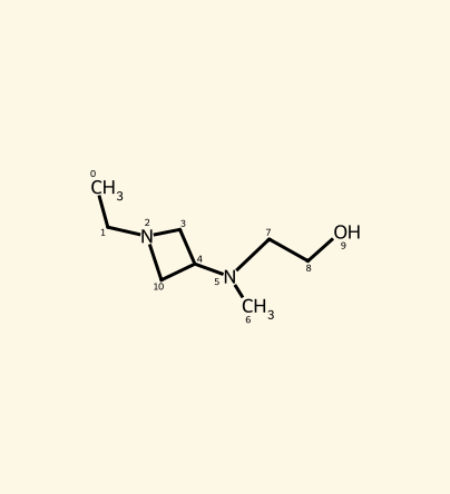 CCN1CC(N(C)CCO)C1